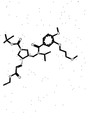 CCOC(=O)C=C[C@@H]1CN(C(=O)OC(C)(C)C)C[C@H]1CN(C(=O)c1ccc(OC)c(OCCCOC)c1)C(C)C